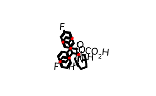 O=C(O)[C@@H]1[C@H]2CC[C@@H](CN1C(=O)C(c1ccc(F)cc1)c1ccc(F)cc1)N2C(=O)C(c1ccccc1)c1ccccc1